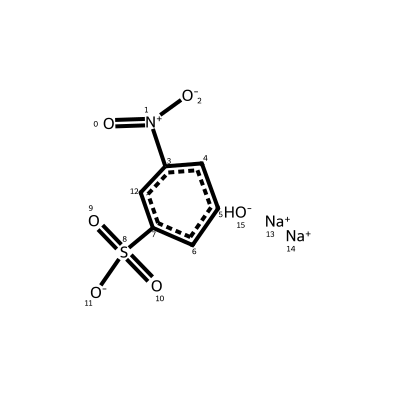 O=[N+]([O-])c1cccc(S(=O)(=O)[O-])c1.[Na+].[Na+].[OH-]